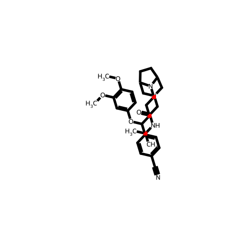 COc1ccc(OC(CCCN2C3CCC2CN(CC(=O)NC(C)C)C3)c2ccc(C#N)cc2)cc1OC